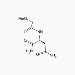 COCC(=O)N[C@@H](CC(N)=O)C(N)=O